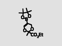 CCOC(=O)[C@@]1(C)OC=C(B2OC(C)(C)C(C)(C)O2)CO1